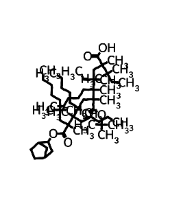 CCCCCC(C)(C)CC(C)(C(=O)OC1CC2CCC1C2)C(C)(CCCCC)C(C)(CCCCC)CC(C)(C(=O)OC(C)(C)C)C(C)(CCCCC)C(C)(CC)CC(C)(C(=O)O)C(C)(C)CC